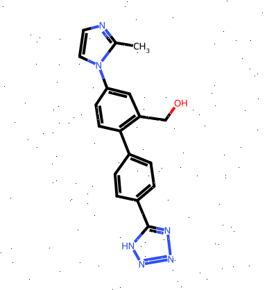 Cc1nccn1-c1ccc(-c2ccc(-c3nnn[nH]3)cc2)c(CO)c1